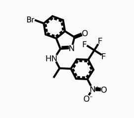 CC(NC1=NC(=O)c2ccc(Br)cc21)c1cc([N+](=O)[O-])cc(C(F)(F)F)c1